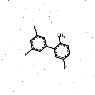 Cc1ccc(Cl)cc1-c1cc(F)cc(F)c1